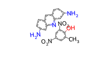 Cc1cc([N+](=O)[O-])cc([N+](=O)[O-])c1O.Nc1ccc2cc3ccc(N)cc3nc2c1